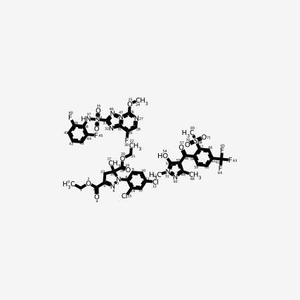 CCOC(=O)C1=NN(c2ccc(Cl)cc2Cl)C(C)(C(=O)OCC)C1.COc1ncc(F)c2nc(S(=O)(=O)Nc3c(F)cccc3F)nn12.Cc1nn(C)c(O)c1C(=O)c1ccc(C(F)(F)F)cc1S(C)(=O)=O